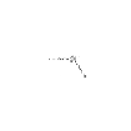 CCCCCCCCCC[N+](C)(C)CCCCCCCC.[Cl-]